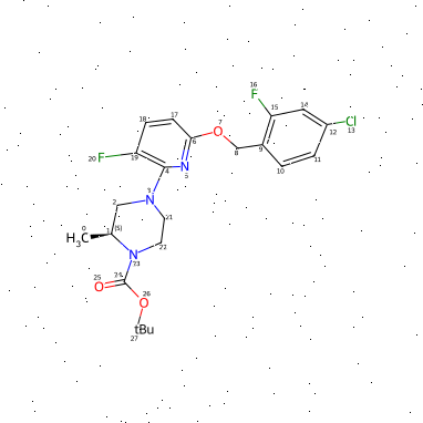 C[C@H]1CN(c2nc(OCc3ccc(Cl)cc3F)ccc2F)CCN1C(=O)OC(C)(C)C